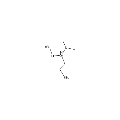 CN(C)[SiH](CCC(C)(C)C)OC(C)(C)C